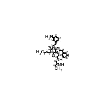 CCCCn1c(=O)c2c(nc(Cc3ccnnc3)n2CCNCC(O)CC)n(CCc2cccc(N)c2)c1=O